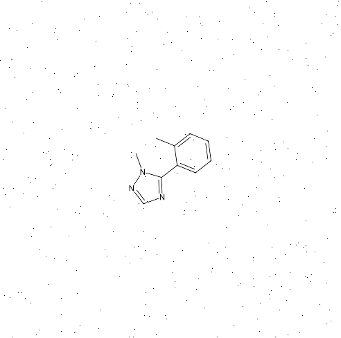 Cc1ccccc1-c1ncnn1C